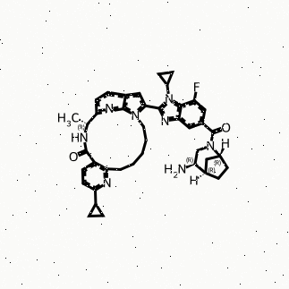 C[C@H]1NC(=O)c2ccc(C3CC3)nc2CCCCCn2c(-c3nc4cc(C(=O)N5C[C@H](N)[C@@H]6CC[C@@H]5C6)cc(F)c4n3C3CC3)cc3ccc1nc32